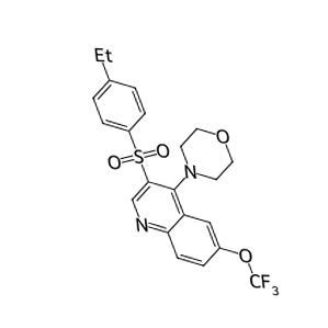 CCc1ccc(S(=O)(=O)c2cnc3ccc(OC(F)(F)F)cc3c2N2CCOCC2)cc1